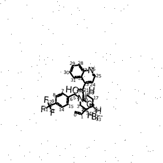 C=C[C@H]1C[N+]2(Cc3ccc(C(F)(F)F)cc3)CC[C@H]1C[C@@H]2[C@@H](O)c1ccnc2ccccc12.[Br-]